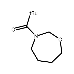 CC(C)(C)C(=O)N1CCCCOC1